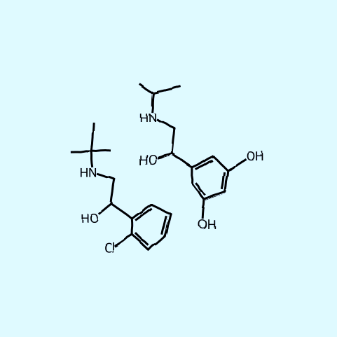 CC(C)(C)NCC(O)c1ccccc1Cl.CC(C)NCC(O)c1cc(O)cc(O)c1